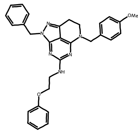 COc1ccc(CN2CCc3nn(Cc4ccccc4)c4nc(NCCOc5ccccc5)nc2c34)cc1